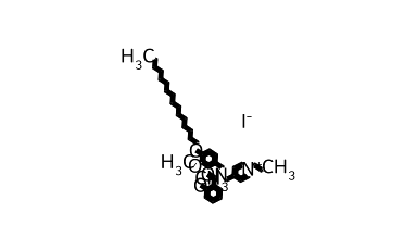 CCCCCCCCCCCCCCCCOc1ccc(CN(Cc2cc[n+](CCC)cc2)C(=O)c2ccccc2OC)cc1OC.[I-]